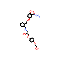 NC(=O)c1cc(OCCc2ccccc2CNCC(O)COc2ccc(OCCO)cc2)ccc1O